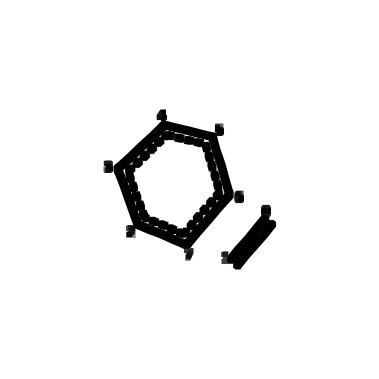 C=C.c1ccccc1